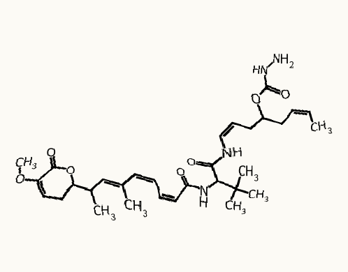 C/C=C\CC(C/C=C\NC(=O)C(NC(=O)\C=C/C=C\C(C)=C\C(C)C1CC=C(OC)C(=O)O1)C(C)(C)C)OC(=O)NN